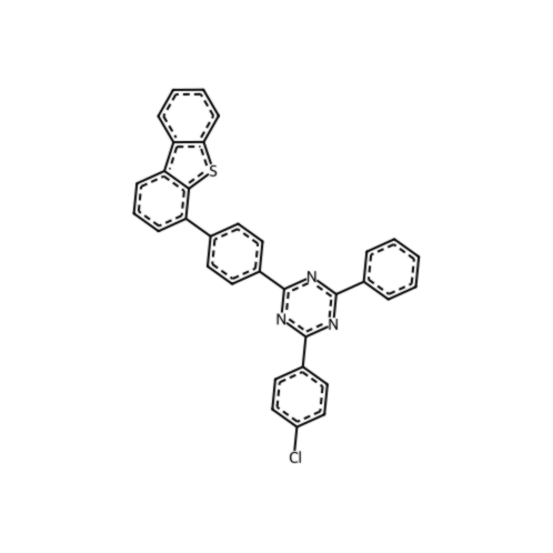 Clc1ccc(-c2nc(-c3ccccc3)nc(-c3ccc(-c4cccc5c4sc4ccccc45)cc3)n2)cc1